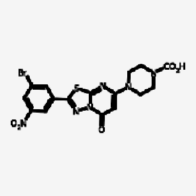 O=C(O)N1CCN(c2cc(=O)n3nc(-c4cc(Br)cc([N+](=O)[O-])c4)sc3n2)CC1